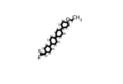 CCOC1CCC(C2CCC(C3CCC(C4CCC(C=C(F)F)CC4)CC3)CC2)CC1